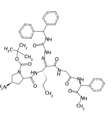 CCC[C@H](NC(=O)C1C[C@@H](N)CN1C(=O)OC(C)(C)C)C(=NNC(=O)NC(c1ccccc1)c1ccccc1)C(=O)NCC(=O)N[C@H](C(=O)NC)c1ccccc1